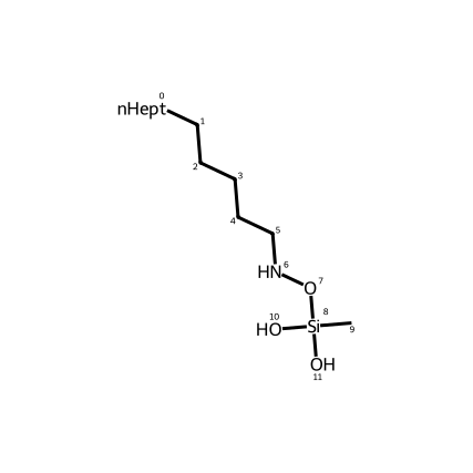 CCCCCCCCCCCCNO[Si](C)(O)O